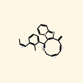 C=C1/C=C\C=C/C/N=C(/c2cccc(/C=C\C)c2C)c2c1nc1ccccn21